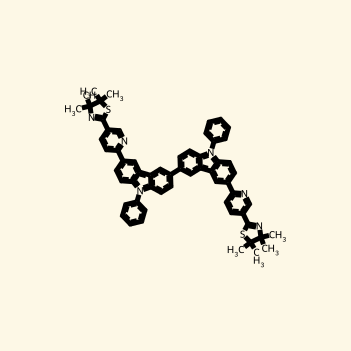 CC1(C)N=C(c2ccc(-c3ccc4c(c3)c3cc(-c5ccc6c(c5)c5cc(-c7ccc(C8=NC(C)(C)C(C)(C)S8)cn7)ccc5n6-c5ccccc5)ccc3n4-c3ccccc3)nc2)SC1(C)C